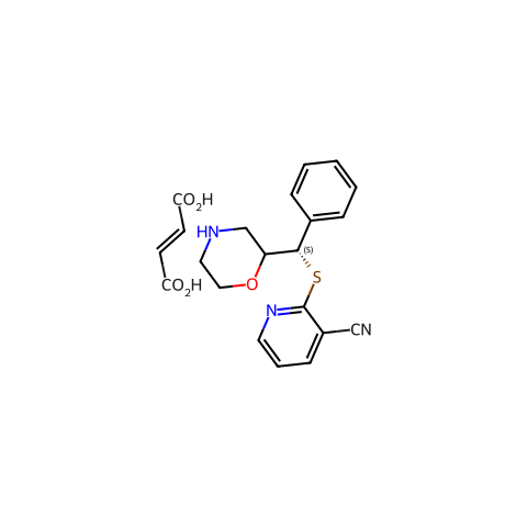 N#Cc1cccnc1S[C@@H](c1ccccc1)C1CNCCO1.O=C(O)C=CC(=O)O